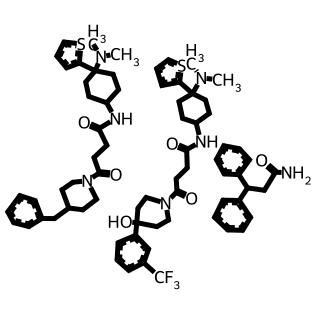 CN(C)C1(c2cccs2)CCC(NC(=O)CCC(=O)N2CCC(Cc3ccccc3)CC2)CC1.CN(C)C1(c2cccs2)CCC(NC(=O)CCC(=O)N2CCC(O)(c3cccc(C(F)(F)F)c3)CC2)CC1.NC(=O)CC(c1ccccc1)c1ccccc1